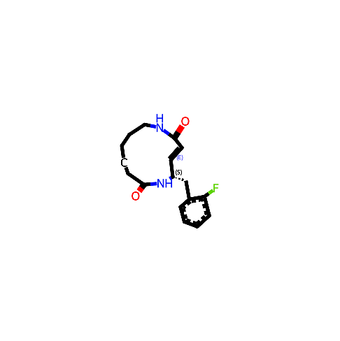 O=C1/C=C/[C@H](Cc2ccccc2F)NC(=O)CCCCCN1